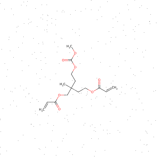 C=CC(=O)OCCC(C)(CCOC(=O)OC)COC(=O)C=C